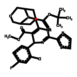 COC(=O)C1=C(CN2C3COCC2CN(C(=O)OC(C)(C)C)C3)NC(c2nccs2)=NC1c1ccc(F)cc1Cl